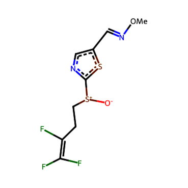 CON=Cc1cnc([S+]([O-])CCC(F)=C(F)F)s1